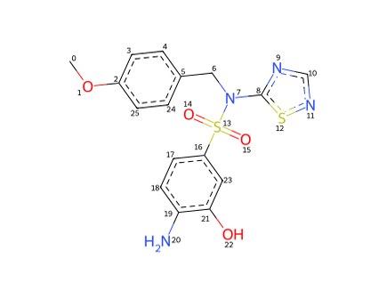 COc1ccc(CN(c2ncns2)S(=O)(=O)c2ccc(N)c(O)c2)cc1